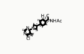 CC(=O)N[C@@H](C)c1ccc(C2CN(c3ncnc(Cl)c3F)C2)cc1